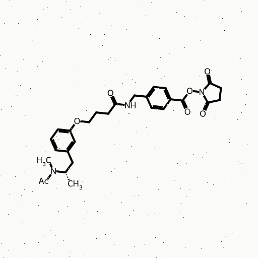 CC(=O)N(C)[C@@H](C)Cc1cccc(OCCCC(=O)NCc2ccc(C(=O)ON3C(=O)CCC3=O)cc2)c1